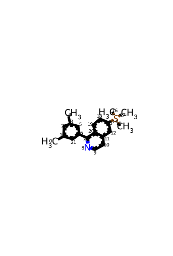 Cc1cc(C)cc(-c2nccc3cc(S(C)(C)C)ccc23)c1